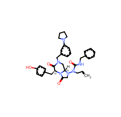 C=CCN(C(=O)NCc1ccccc1)N1CC(=O)N2[C@@H](Cc3ccc(O)cc3)C(=O)N(Cc3cccc(N4CCCC4)c3)C[C@@H]21